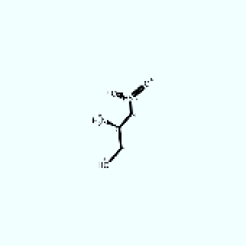 N[C@H]([CH]O)C[SH](=O)=O